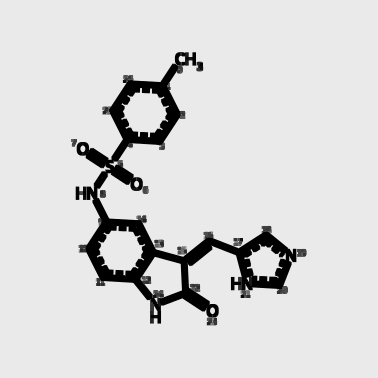 Cc1ccc(S(=O)(=O)Nc2ccc3c(c2)/C(=C/c2cnc[nH]2)C(=O)N3)cc1